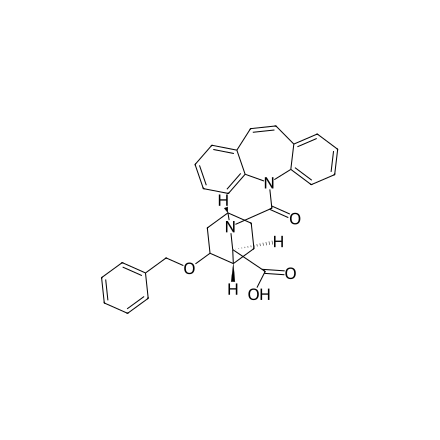 O=C(O)[C@H]1[C@@H]2CC[C@@H](CC2OCc2ccccc2)N1C(=O)N1c2ccccc2C=Cc2ccccc21